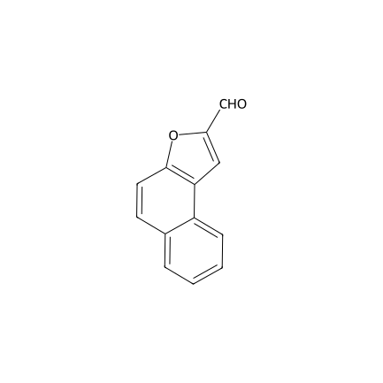 O=Cc1cc2c(ccc3ccccc32)o1